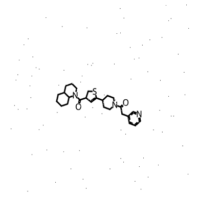 O=C(Cc1cccnc1)N1CCC(C2=CC(C(=O)N3CCCC4CCCCC43)CS2)CC1